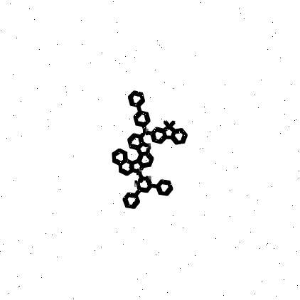 CC1(C)c2ccccc2-c2ccc(N(c3ccc(-c4ccccc4)cc3)c3cccc4c3sc3ccc5c(c34)c3c4ccccc4ccc3n5-c3nc(-c4ccccc4)cc(-c4ccccc4)n3)cc21